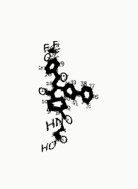 O=C(O)CCNC(=O)c1ccc(C(=O)C(CC(=O)c2ccc(OC(F)(F)F)cc2)c2ccc(-c3ccccc3)cc2)cc1